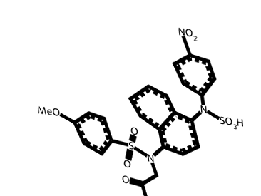 COC(=O)CN(c1ccc(N(c2ccc([N+](=O)[O-])cc2)S(=O)(=O)O)c2ccccc12)S(=O)(=O)c1ccc(OC)cc1